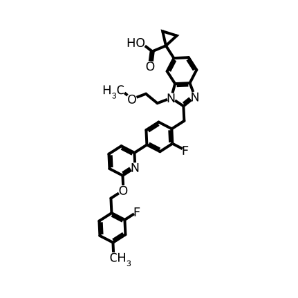 COCCn1c(Cc2ccc(-c3cccc(OCc4ccc(C)cc4F)n3)cc2F)nc2ccc(C3(C(=O)O)CC3)cc21